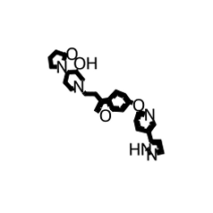 O=C1CCCN1C1CCN(CCc2coc3cc(Oc4ccc(-c5ccn[nH]5)cn4)ccc23)C[C@H]1O